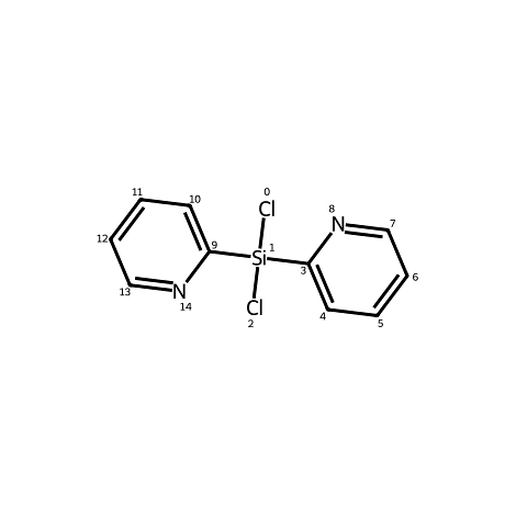 Cl[Si](Cl)(c1ccccn1)c1ccccn1